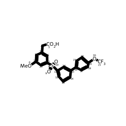 COc1cc(CC(=O)O)cc(S(=O)(=O)c2cccc(-c3ccc(OC(F)(F)F)cc3)c2)c1